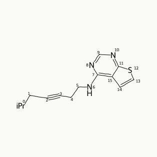 CC(C)CC#CCCNc1ncnc2sccc12